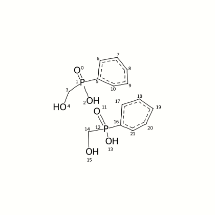 O=P(O)(CO)c1ccccc1.O=P(O)(CO)c1ccccc1